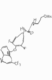 COCCNC(=O)Nc1cc(F)c(Oc2ccnc3[nH]cc(C(F)(F)F)c23)c(F)c1